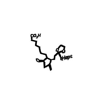 CCCCCCCC1(CC[C@H]2C(C)CC(=O)C2CCCCCCC(=O)O)OCCO1